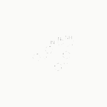 Nc1nc(Nc2ccc(Oc3ccccc3)cc2)sc1C(=O)c1ccc(Oc2ccccc2)cc1